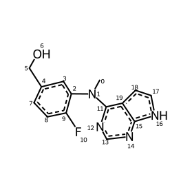 CN(c1cc(CO)ccc1F)c1ncnc2[nH]ccc12